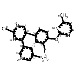 Cc1ccnc(Oc2ccc(-c3cnc(Cl)nc3-c3cncc(N)c3)cc2F)n1